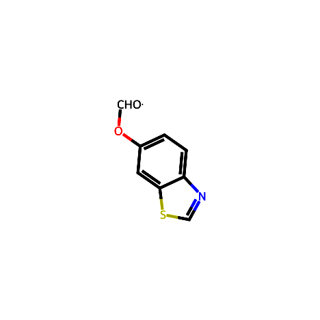 O=[C]Oc1ccc2ncsc2c1